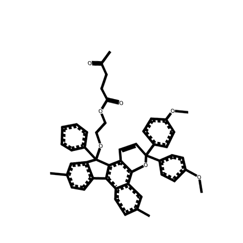 COc1ccc(C2(c3ccc(OC)cc3)C=Cc3c4c(c5ccc(C)cc5c3O2)-c2ccc(C)cc2C4(OCCOC(=O)CCC(C)=O)c2ccccc2)cc1